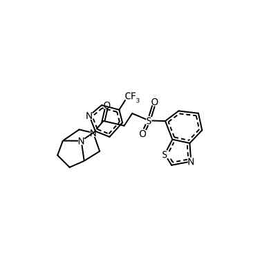 O=C(CCS(=O)(=O)c1cccc2ncsc12)N1CC2CCC(C1)N2c1ccc(C(F)(F)F)cn1